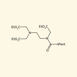 CCCCCC(=O)N(CCN(CC(=O)OCC)CC(=O)OCC)CC(=O)OCC